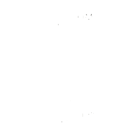 C=CC(=O)OC(CCC)Oc1ccc(C=CC(=O)OC)cc1